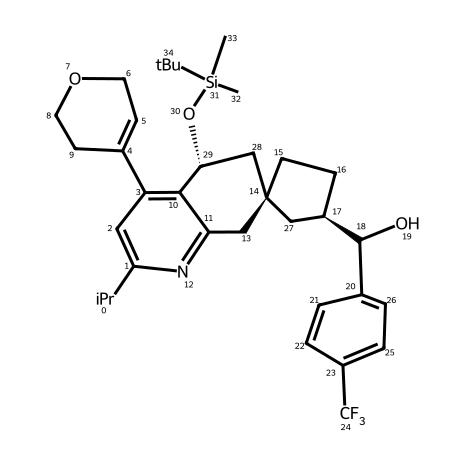 CC(C)c1cc(C2=CCOCC2)c2c(n1)C[C@]1(CC[C@@H](C(O)c3ccc(C(F)(F)F)cc3)C1)C[C@H]2O[Si](C)(C)C(C)(C)C